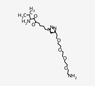 CC(C)[C@H](N)C(=O)C(=O)CCCCn1cc(CCOCCOCCOCCOCCN)nn1